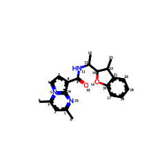 Cc1cc(C)n2ccc(C(=O)NC(C)C3Oc4ccccc4C3C)c2n1